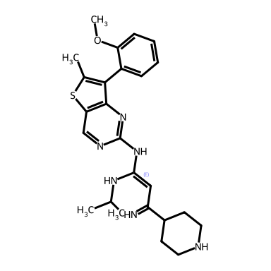 COc1ccccc1-c1c(C)sc2cnc(N/C(=C/C(=N)C3CCNCC3)NC(C)C)nc12